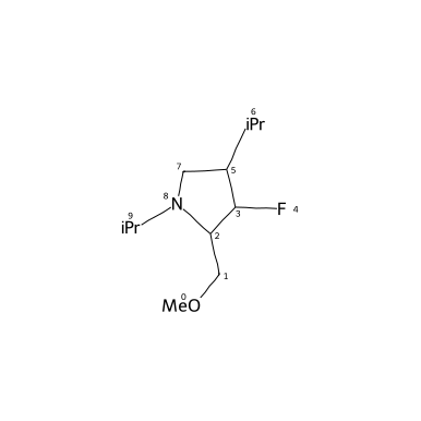 COCC1C(F)C(C(C)C)CN1C(C)C